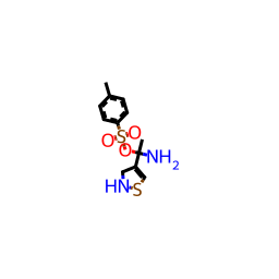 Cc1ccc(S(=O)(=O)OC(C)(N)C2=CSNC2)cc1